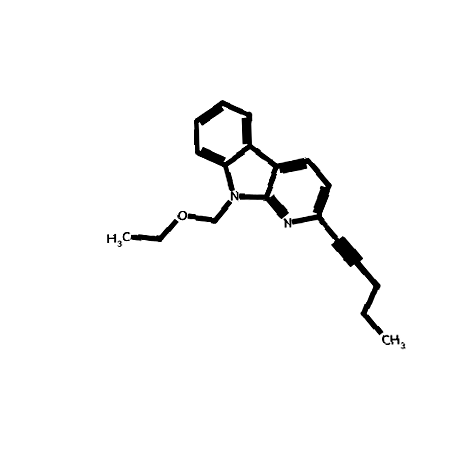 CCCC#Cc1ccc2c3ccccc3n(COCC)c2n1